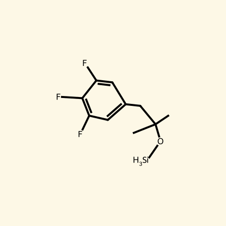 CC(C)(Cc1cc(F)c(F)c(F)c1)O[SiH3]